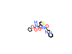 O=C(NC(=O)c1ccsc1NC(=O)c1cn2ccccc2n1)OC1CCCC1